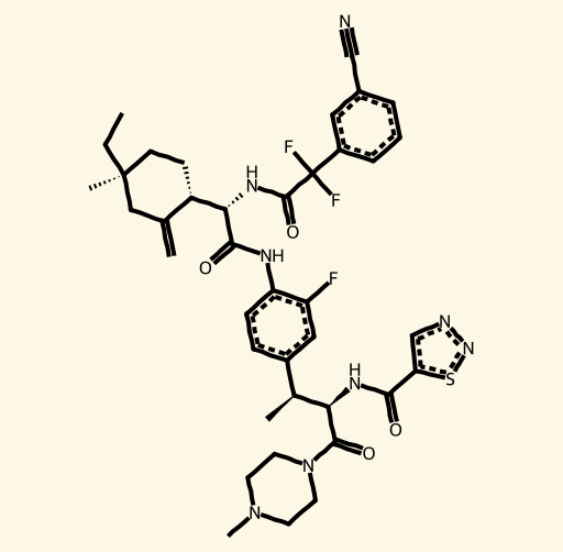 C=C1C[C@@](C)(CC)CC[C@@H]1[C@H](NC(=O)C(F)(F)c1cccc(C#N)c1)C(=O)Nc1ccc([C@H](C)[C@@H](NC(=O)c2cnns2)C(=O)N2CCN(C)CC2)cc1F